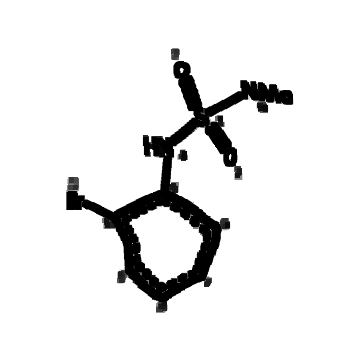 CNS(=O)(=O)Nc1ccccc1Br